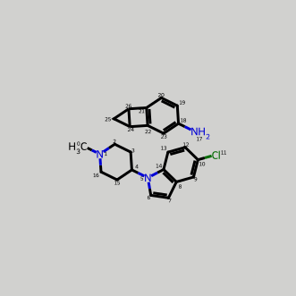 CN1CCC(n2ccc3cc(Cl)ccc32)CC1.Nc1ccc2c(c1)C1CC21